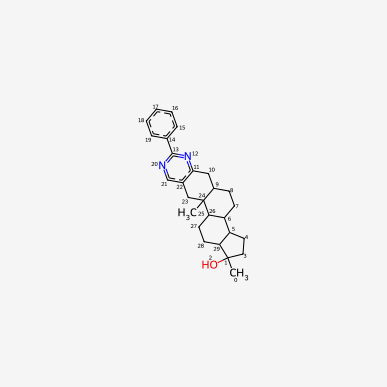 CC1(O)CCC2C3CCC4Cc5nc(-c6ccccc6)ncc5CC4(C)C3CCC21